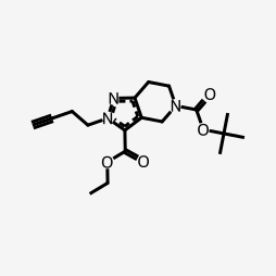 C#CCCn1nc2c(c1C(=O)OCC)CN(C(=O)OC(C)(C)C)CC2